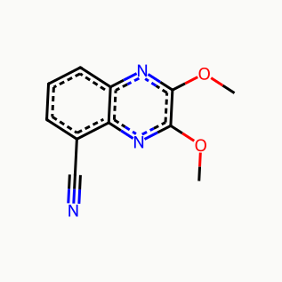 COc1nc2cccc(C#N)c2nc1OC